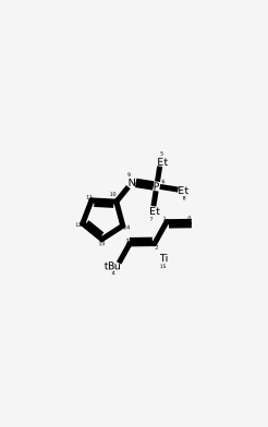 C=CC=CC(C)(C)C.CCP(CC)(CC)=NC1=CC=CC1.[Ti]